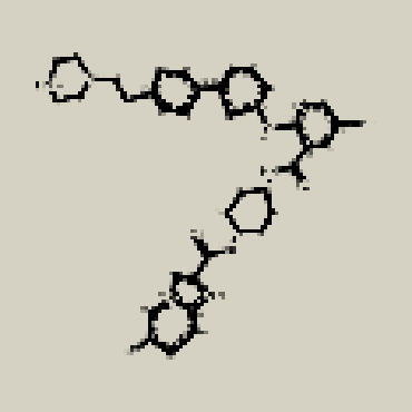 O=C(N[C@H]1CC[C@@H](NC(=O)c2cc(F)cnc2Oc2cccc(-c3ccc(CCN4CCNCC4)cc3)c2)CC1)c1cn2cc(F)ccc2n1